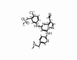 CN(C)Cc1ccc(Nc2cc(Nc3ccc(Cl)c(CS(C)(=O)=O)c3)nc3c(C#N)cnn23)nc1